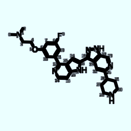 CN(C)CCOc1cc(F)cc(-c2nccc3[nH]c(-c4n[nH]c5cnc(C6CCNCC6)cc45)cc23)c1